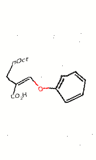 CCCCCCCCC/C(=C/Oc1ccccc1)C(=O)O